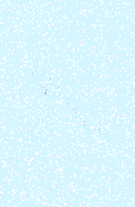 CCCCCCCCCC(CC)[N+](=O)[O-]